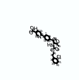 Cc1onc(-c2ccc(-c3ccc(C(=O)O)cn3)cc2)c1NC(=O)OCCc1ccccc1Cl